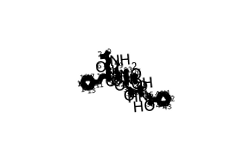 CC(C)[C@H](N)C(=O)N(C(=O)CCc1ccccc1)[C@@H](C)C(=O)N(C)N(C(=O)O)C(=O)[C@@H]1O[C@H]1C(=O)NCC(O)c1ccccc1